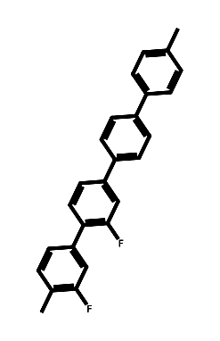 Cc1ccc(-c2ccc(-c3ccc(-c4ccc(C)c(F)c4)c(F)c3)cc2)cc1